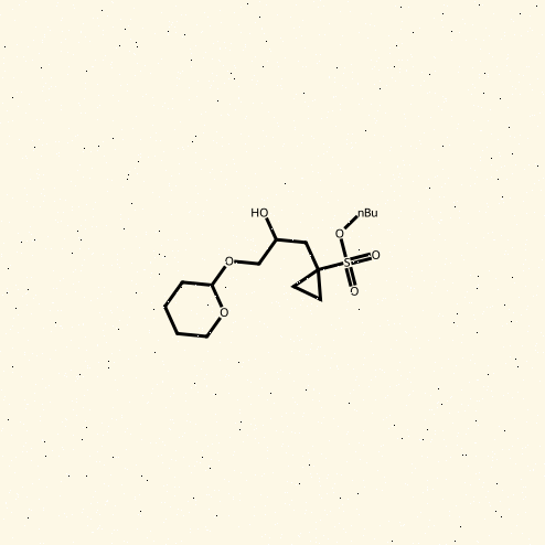 CCCCOS(=O)(=O)C1(CC(O)COC2CCCCO2)CC1